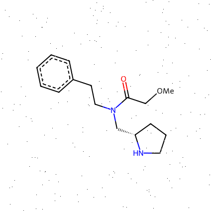 COCC(=O)N(CCc1ccccc1)C[C@@H]1CCCN1